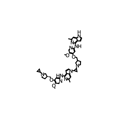 COc1cnc(Nc2nc(C)cc3[nH]ccc23)cc1OCC1CCN(C2CC2n2ccc3c(Nc4cc(OC[C@H]5CCN(C6CC6)C5)c(OC)cn4)nc(C)cc32)C1